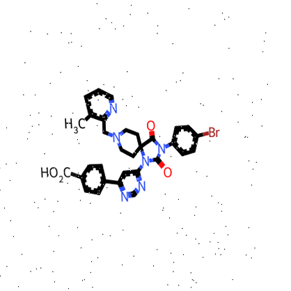 Cc1cccnc1CN1CCC2(CC1)C(=O)N(c1ccc(Br)cc1)C(=O)N2c1cc(-c2ccc(C(=O)O)cc2)ncn1